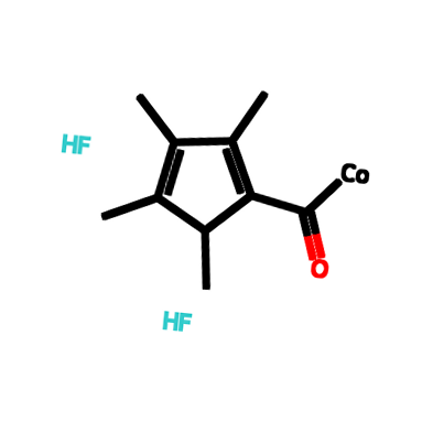 CC1=C(C)C(C)C([C](=O)[Co])=C1C.F.F